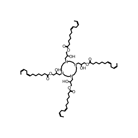 C/C=C\C/C=C\CCCCCC(=O)OCC(O)CN1CCCN(CC(O)COC(=O)CCCCC/C=C\C/C=C\C)CCN(CC(O)COC(=O)CCCCC/C=C\C/C=C\C)CCCN(CC(O)COC(=O)CCCCC/C=C\C/C=C\C)CC1